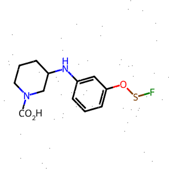 O=C(O)N1CCCC(Nc2cccc(OSF)c2)C1